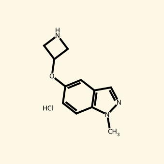 Cl.Cn1ncc2cc(OC3CNC3)ccc21